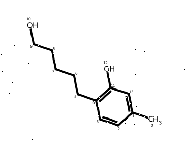 Cc1ccc(CCCCCO)c(O)c1